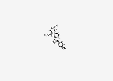 CN(Cc1cccc(CN(C)c2ccc(C#N)cc2)c1F)c1ccc(C#N)cc1